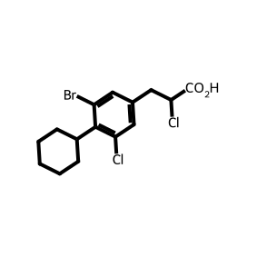 O=C(O)C(Cl)Cc1cc(Cl)c(C2CCCCC2)c(Br)c1